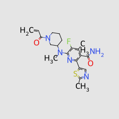 C=CC(=O)N1CCCC(N(C)c2nc(-c3cnc(C)s3)c(C(N)=O)c(C)c2F)C1